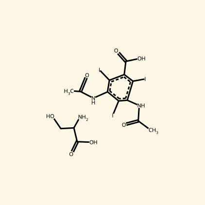 CC(=O)Nc1c(I)c(NC(C)=O)c(I)c(C(=O)O)c1I.NC(CO)C(=O)O